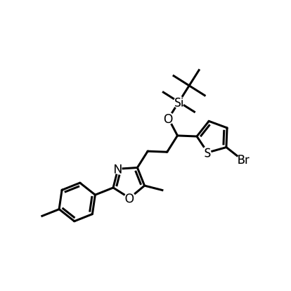 Cc1ccc(-c2nc(CCC(O[Si](C)(C)C(C)(C)C)c3ccc(Br)s3)c(C)o2)cc1